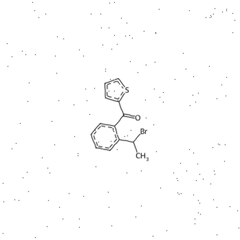 CC(Br)c1ccccc1C(=O)c1cccs1